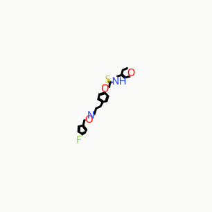 Fc1ccc(CON=CCCc2ccc(OCC(=S)NCC3=CCOCC3)cc2)cc1